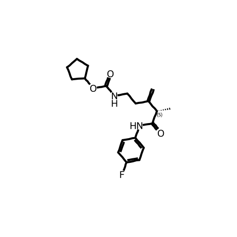 C=C(CCNC(=O)OC1CCCC1)[C@H](C)C(=O)Nc1ccc(F)cc1